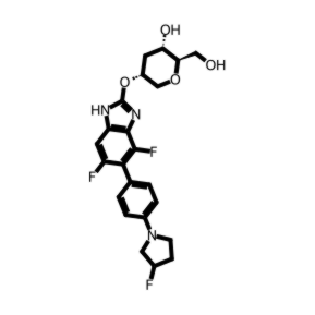 OC[C@H]1OC[C@H](Oc2nc3c(F)c(-c4ccc(N5CCC(F)C5)cc4)c(F)cc3[nH]2)C[C@@H]1O